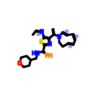 C=C(c1nc(C(=P)NCC2CCOCC2)sc1/N=C\C)N1/C=C/C=C\C=C\CC1